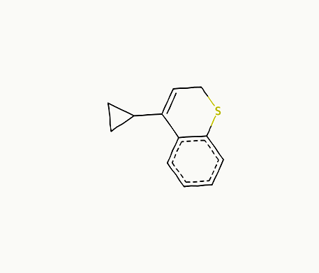 C1=C(C2CC2)c2ccccc2SC1